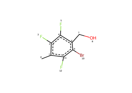 Cc1c(F)c(F)c(CO)c(Br)c1F